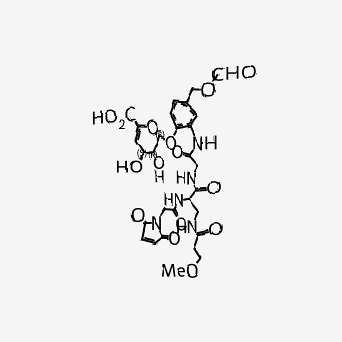 COCCC(=O)NCC(NC(=O)CN1C(=O)C=CC1=O)C(=O)NCC(=O)Nc1cc(COC=O)ccc1O[C@@H]1OC(C(=O)O)=C[C@H](O)[C@H]1O